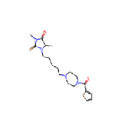 CC1C(=O)N(C)C(=S)N1CCCCCN1CCN(C(=O)c2cccs2)CC1